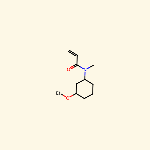 C=CC(=O)N(C)C1CCCC(OCC)C1